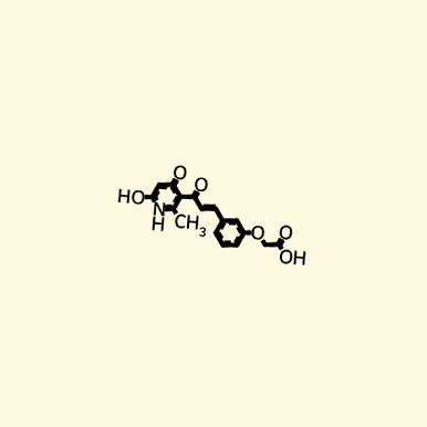 Cc1[nH]c(O)cc(=O)c1C(=O)C=Cc1cccc(OCC(=O)O)c1